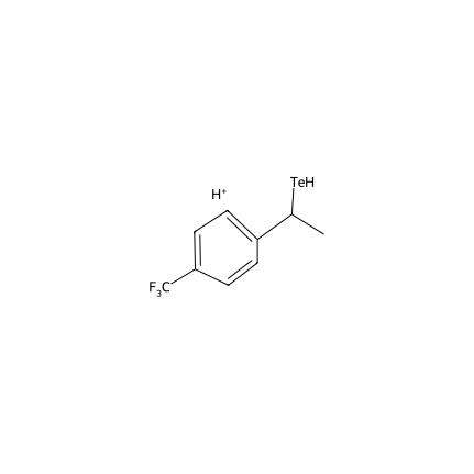 CC([TeH])c1ccc(C(F)(F)F)cc1.[H+]